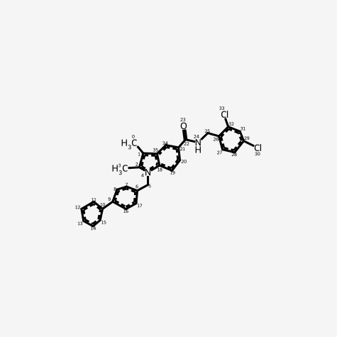 Cc1c(C)n(Cc2ccc(-c3ccccc3)cc2)c2ccc(C(=O)NCc3ccc(Cl)cc3Cl)cc12